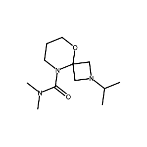 CC(C)N1CC2(C1)OCCCN2C(=O)N(C)C